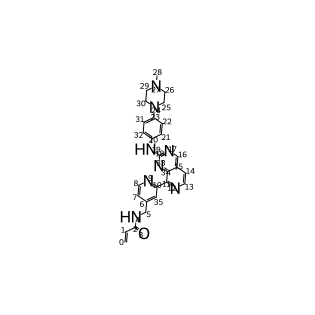 C=CC(=O)NCc1ccnc(-c2nccc3cnc(Nc4ccc(N5CCN(C)CC5)cc4)nc23)c1